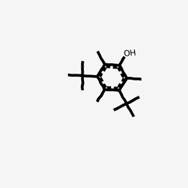 Cc1c(O)c(C)c(C(C)(C)C)c(C)c1C(C)(C)C